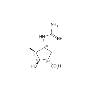 C[C@@H]1[C@H](O)[C@@H](C(=O)O)C[C@H]1NC(=N)N